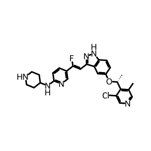 Cc1cncc(Cl)c1[C@@H](C)Oc1ccc2[nH]nc(/C=C(\F)c3ccc(NC4CCNCC4)nc3)c2c1